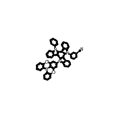 N#Cc1cccc(-n2c3ccccc3c3c4c(c5ccccc5n4-c4ccccc4)c4c(c5ccccc5n4-c4cc5c6c(c4)Oc4ccccc4B6c4ccccc4O5)c32)c1